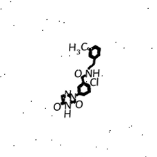 Cc1cccc(CCNC(=O)c2cc(-n3ncc(=O)[nH]c3=O)ccc2Cl)c1